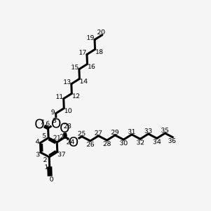 C#Cc1ccc(C(=O)OCCCCCCCCCCCC)c(C(=O)OCCCCCCCCCCCC)c1